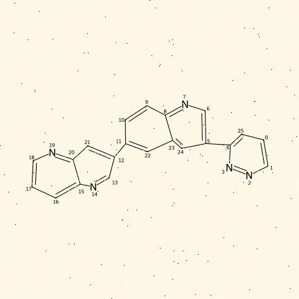 c1cnnc(-c2cnc3ccc(-c4cnc5cccnc5c4)cc3c2)c1